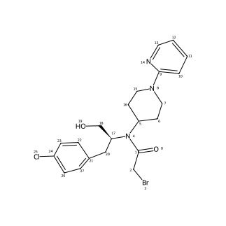 O=C(CBr)N(C1CCN(c2ccccn2)CC1)[C@H](CO)Cc1ccc(Cl)cc1